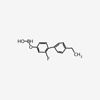 CCc1ccc(-c2ccc(OBO)cc2F)cc1